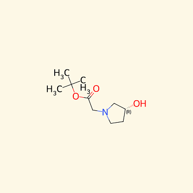 CC(C)(C)OC(=O)CN1CC[C@@H](O)C1